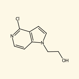 OCCn1ccc2c(Cl)nccc21